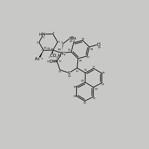 CC(=O)[C@H]1CNCC[C@]1(C(=O)O)[N@+]1(CC(C)(C)C)C(=O)CSC(c2cccc3ccccc23)c2cc(Cl)ccc21